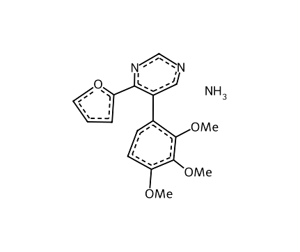 COc1ccc(-c2cncnc2-c2ccco2)c(OC)c1OC.N